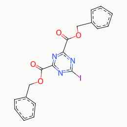 O=C(OCc1ccccc1)c1nc(I)nc(C(=O)OCc2ccccc2)n1